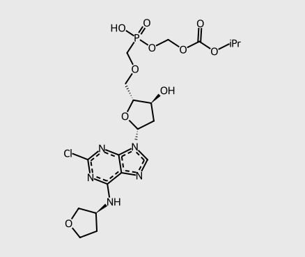 CC(C)OC(=O)OCOP(=O)(O)COC[C@H]1O[C@@H](n2cnc3c(N[C@H]4CCOC4)nc(Cl)nc32)C[C@@H]1O